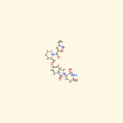 CC(C)c1cc(C(=O)N2CCCC[C@@H]2COc2ccc3c(c2)CN(C2CCC(=O)NC2=O)C3=O)on1